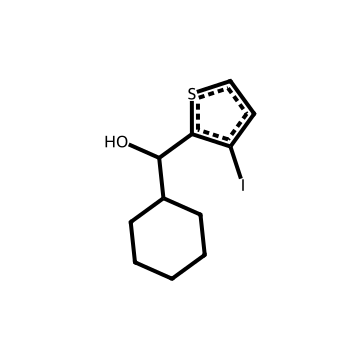 OC(c1sccc1I)C1CCCCC1